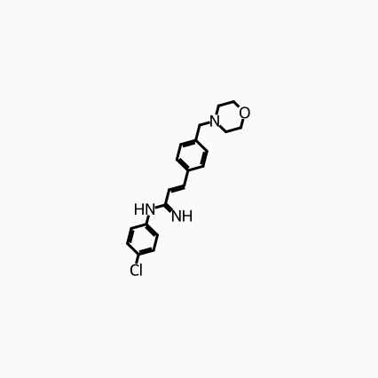 N=C(/C=C/c1ccc(CN2CCOCC2)cc1)Nc1ccc(Cl)cc1